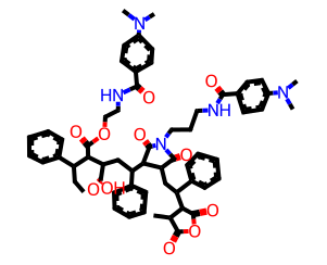 CCC(c1ccccc1)C(C(=O)OCCNC(=O)c1ccc(N(C)C)cc1)C(CC(c1ccccc1)C1C(=O)N(CCCNC(=O)c2ccc(N(C)C)cc2)C(=O)C1CC(c1ccccc1)C1C(=O)OC(=O)C1C)C(=O)O